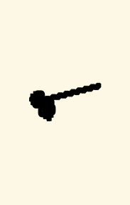 CCCCCCCCCCCCCCCc1cc(OC(=O)C(C)(C)C)cc(B2OC(C)(C)C(C)(C)O2)c1